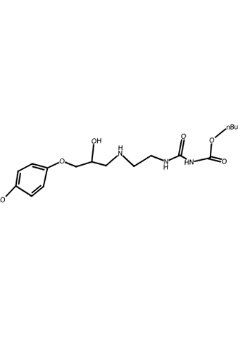 CCCCOC(=O)NC(=O)NCCNCC(O)COc1ccc(O)cc1